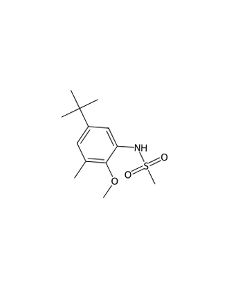 COc1c(C)cc(C(C)(C)C)cc1NS(C)(=O)=O